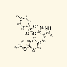 Cc1ccc(S(=O)(=O)Oc2n[nH]c(C)c2Cc2ccc(OC(C)C)cc2)cc1